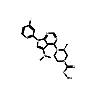 C[C@H]1CN(C(=O)OC(C)(C)C)CCN1c1ncnc2c1c(N(C)C)cn2-c1cc(Cl)ccn1